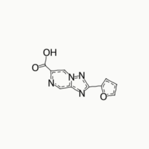 O=C(O)c1cn2nc(-c3ccco3)nc2cn1